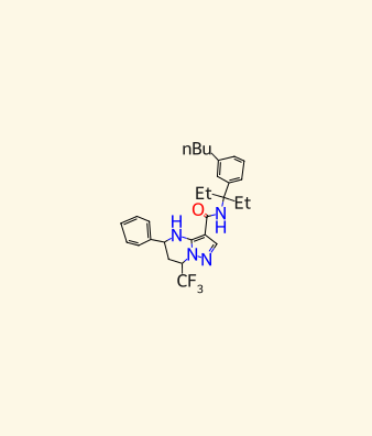 CCCCc1cccc(C(CC)(CC)NC(=O)c2cnn3c2NC(c2ccccc2)CC3C(F)(F)F)c1